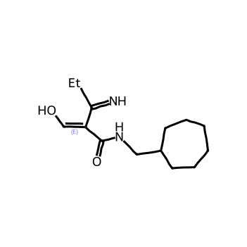 CCC(=N)/C(=C\O)C(=O)NCC1CCCCCC1